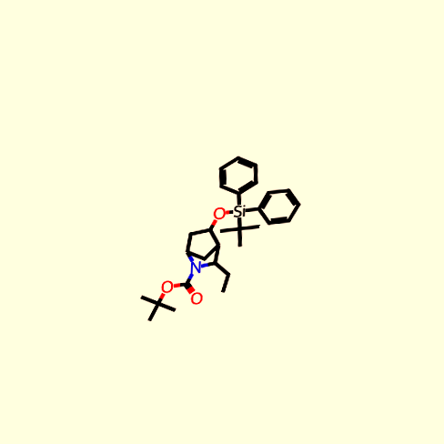 CCC1C2CC(CC2O[Si](c2ccccc2)(c2ccccc2)C(C)(C)C)N1C(=O)OC(C)(C)C